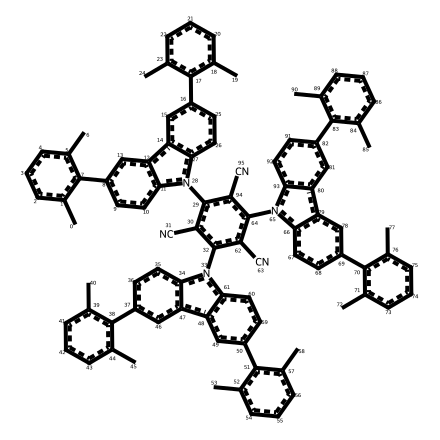 Cc1cccc(C)c1-c1ccc2c(c1)c1cc(-c3c(C)cccc3C)ccc1n2-c1c(C#N)c(-n2c3ccc(-c4c(C)cccc4C)cc3c3cc(-c4c(C)cccc4C)ccc32)c(C#N)c(-n2c3ccc(-c4c(C)cccc4C)cc3c3cc(-c4c(C)cccc4C)ccc32)c1C#N